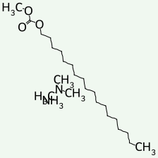 CCCCCCCCCCCCCCCCCCOC(=O)OC.CN(C)C.N